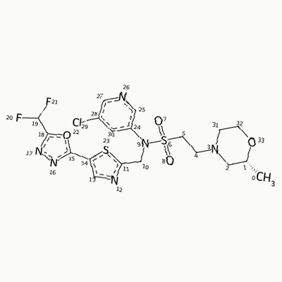 C[C@@H]1CN(CCS(=O)(=O)N(Cc2ncc(-c3nnc(C(F)F)o3)s2)c2cncc(Cl)c2)CCO1